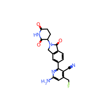 N#Cc1c(CF)cc(N)nc1-c1ccc2c(c1)CN(C1CCC(=O)NC1=O)C2=O